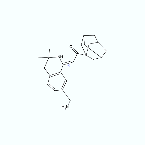 CC1(C)Cc2ccc(CN)cc2/C(=C/C(=O)C23CC4CC(CC(C4)C2)C3)N1